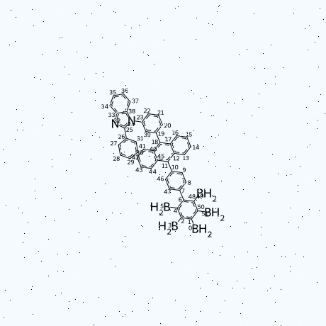 Bc1c(B)c(B)c(-c2ccc(-c3c4ccccc4c(-c4cccc(-n5c(-c6ccccc6)nc6ccccc65)c4)c4ccccc34)cc2)c(B)c1B